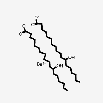 CCCCCCC(O)CCCCCCCCCCC(=O)[O-].CCCCCCC(O)CCCCCCCCCCC(=O)[O-].[Ba+2]